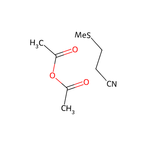 CC(=O)OC(C)=O.CSCCC#N